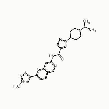 CC(C)N1CCC(n2cc(C(=O)Nc3cc4nc(-c5cn(C)nn5)ccc4cn3)cn2)CC1